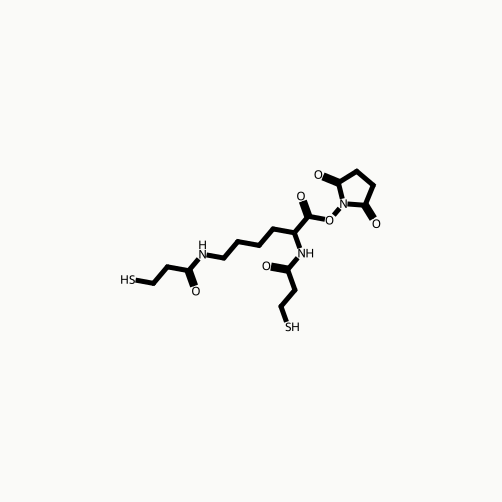 O=C(CCS)NCCCCC(NC(=O)CCS)C(=O)ON1C(=O)CCC1=O